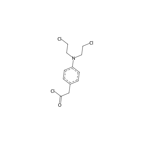 O=C(Cl)Cc1ccc(N(CCCl)CCCl)cc1